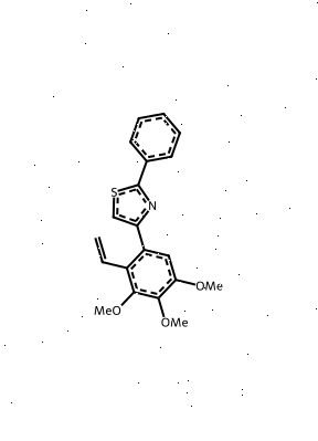 C=Cc1c(-c2csc(-c3ccccc3)n2)cc(OC)c(OC)c1OC